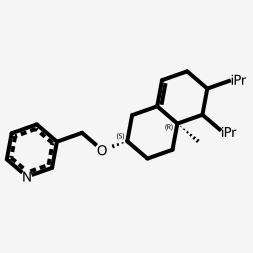 CC(C)C1CC=C2C[C@@H](OCc3cccnc3)CC[C@]2(C)C1C(C)C